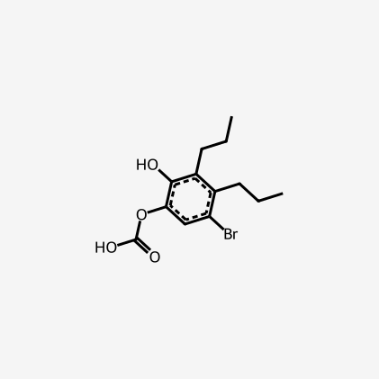 CCCc1c(Br)cc(OC(=O)O)c(O)c1CCC